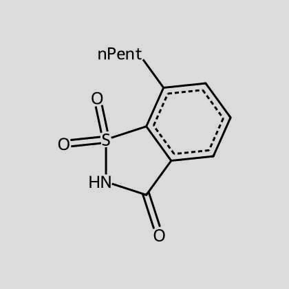 CCCCCc1cccc2c1S(=O)(=O)NC2=O